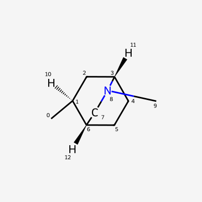 C[C@H]1C[C@@H]2CC[C@H]1CN2C